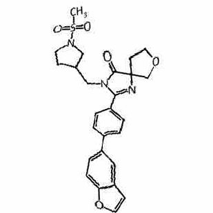 CS(=O)(=O)N1CCC(CN2C(=O)C3(CCOC3)N=C2c2ccc(-c3ccc4occc4c3)cc2)C1